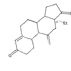 C=C1C[C@]2(CC)C(=O)CCC2C2CCC3=CC(=O)CCC3C12